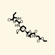 CCOC(=O)CNC(=O)c1sc(N2CC[C@@H](NC(=O)c3nc(Cl)c(CC)[nH]3)[C@@H](OC)C2)nc1C